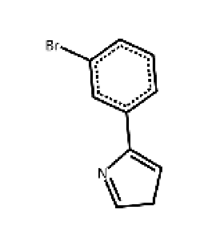 Brc1cccc(C2=CCC=N2)c1